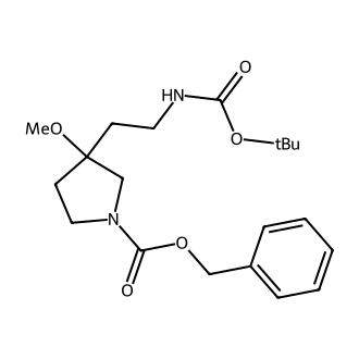 COC1(CCNC(=O)OC(C)(C)C)CCN(C(=O)OCc2ccccc2)C1